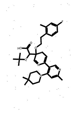 Cc1cc(N2CCC(C)(C)CC2)c(C2=CCC(OCCc3ccc(F)cc3C)(C(OC(C)(C)C)C(=O)O)C=N2)cn1